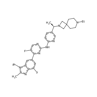 CCN1CCC2(CC1)CN([C@H](C)c1ccc(Nc3ncc(F)c(-c4cc(F)c5nc(C)n(C(C)C)c5c4)n3)nc1)C2